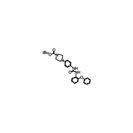 CC(C)(C)OC(=O)N1CCN(c2ccc(NC(=O)Nc3ccccc3Oc3ccccc3)cc2)CC1